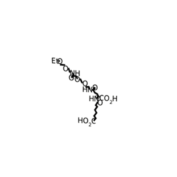 CCOCCOCCNC(=O)COCCOCCNC(=O)CC[C@H](NC(=O)CCCCCCC(=O)O)C(=O)O